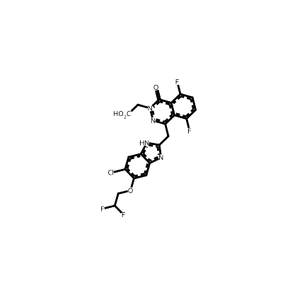 O=C(O)Cn1nc(Cc2nc3cc(OCC(F)F)c(Cl)cc3[nH]2)c2c(F)ccc(F)c2c1=O